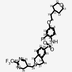 O=S(=O)(Nc1ccc(OCCC2CCOCC2)cc1F)c1ccc2c(c1)CCN(CC1C=NC(C(F)(F)F)=NC1)C2